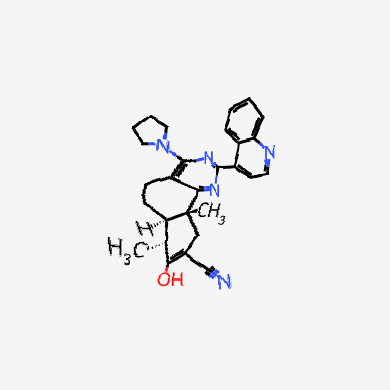 C[C@H]1C(O)=C(C#N)C[C@@]2(C)c3nc(-c4ccnc5ccccc45)nc(N4CCCC4)c3CC[C@H]12